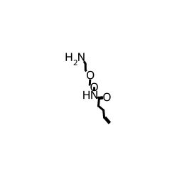 C=CCCC(=O)NOCOCCN